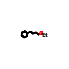 CCO[CH]CC=Cc1ccccc1